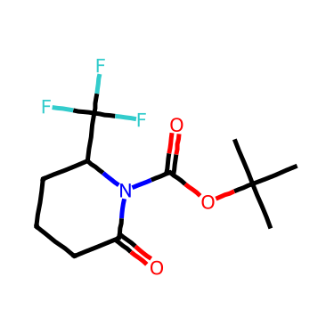 CC(C)(C)OC(=O)N1C(=O)CCCC1C(F)(F)F